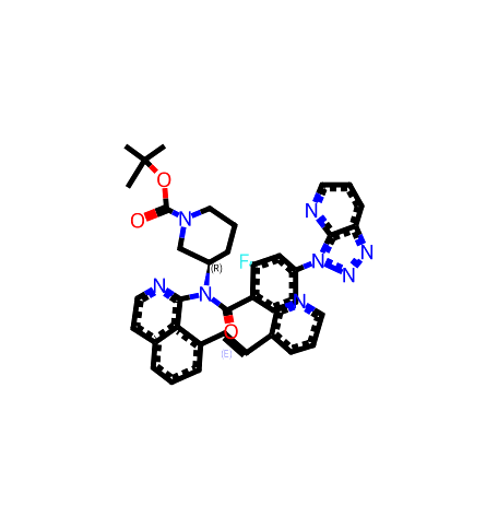 CC(C)(C)OC(=O)N1CCC[C@@H](N(C(=O)c2ccc(-n3nnc4cccnc43)cc2F)c2nccc3cccc(/C=C/c4cccnc4)c23)C1